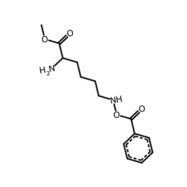 COC(=O)C(N)CCCCNOC(=O)c1ccccc1